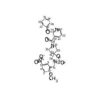 COc1ccc([N+](=O)[O-])cc1CN1CC2(CCN(C(=O)c3cccnc3Oc3ccccc3)CC2)OC1=O